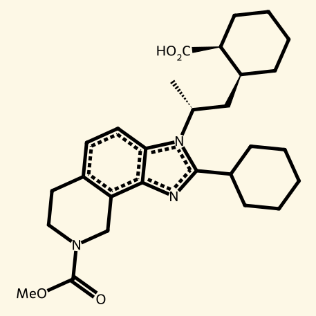 COC(=O)N1CCc2ccc3c(nc(C4CCCCC4)n3[C@H](C)C[C@@H]3CCCC[C@@H]3C(=O)O)c2C1